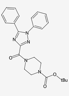 CC(C)(C)OC(=O)N1CCN(C(=O)c2nc(-c3ccccc3)n(-c3ccccc3)n2)CC1